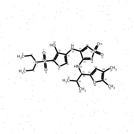 CCN(CC)S(=O)(=O)c1scc(NC2=CS(=O)(=O)N=C2N[C@@H](c2cc(C)c(C)o2)C(C)C)c1O